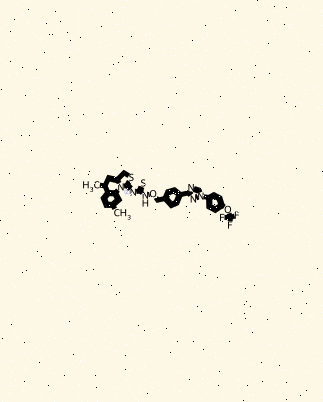 Cc1ccc2c(c1)N1C(=CC2C)CS/C1=N\C(=S)NOCc1ccc(-c2ncn(-c3ccc(OC(F)(F)F)cc3)n2)cc1